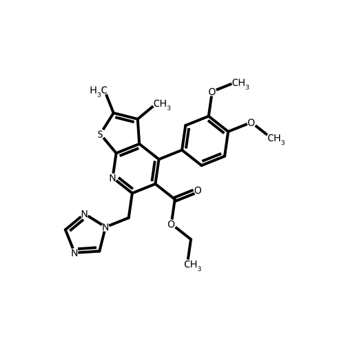 CCOC(=O)c1c(Cn2cncn2)nc2sc(C)c(C)c2c1-c1ccc(OC)c(OC)c1